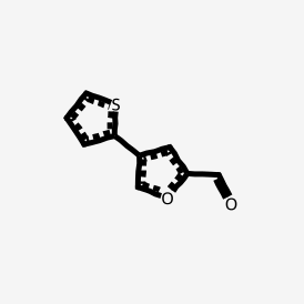 O=Cc1cc(-c2cccs2)co1